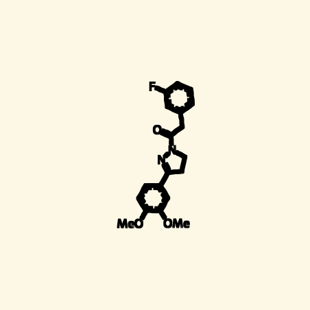 COc1ccc(C2=NN(C(=O)Cc3cccc(F)c3)CC2)cc1OC